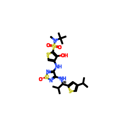 CC(C)c1csc([C@H](Nc2n[s+]([O-])nc2Nc2csc(S(=O)(=O)N(C)C(C)(C)C)c2O)C(C)C)c1